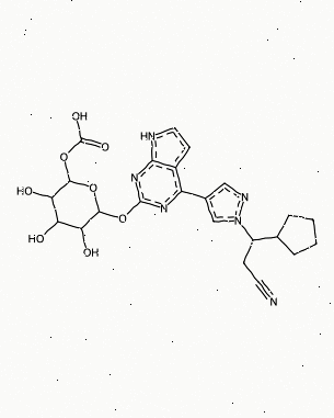 N#CCC(C1CCCC1)n1cc(-c2nc(OC3OC(OC(=O)O)C(O)C(O)C3O)nc3[nH]ccc23)cn1